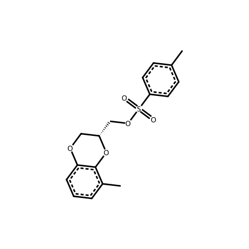 Cc1ccc(S(=O)(=O)OC[C@H]2COc3cccc(C)c3O2)cc1